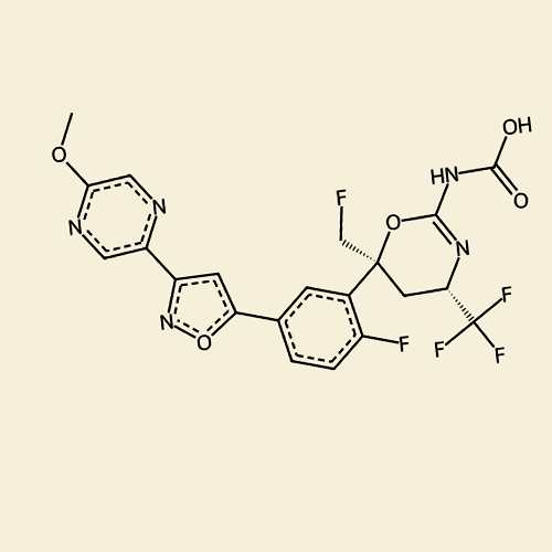 COc1cnc(-c2cc(-c3ccc(F)c([C@]4(CF)C[C@@H](C(F)(F)F)N=C(NC(=O)O)O4)c3)on2)cn1